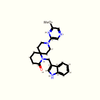 COc1cncc(N2CCC3(CCCC(=O)N3Cc3c[nH]c4ccccc34)CC2)n1